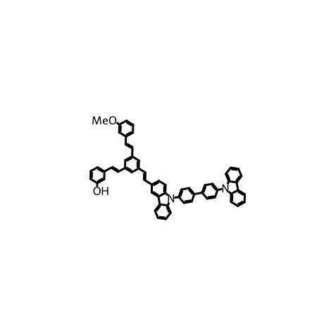 COc1cccc(/C=C/c2cc(/C=C/c3cccc(O)c3)cc(/C=C/c3ccc4c(c3)c3ccccc3n4-c3ccc(-c4ccc(-n5c6ccccc6c6ccccc65)cc4)cc3)c2)c1